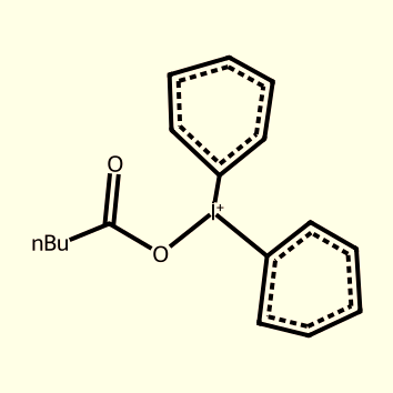 CCCCC(=O)O[I+](c1ccccc1)c1ccccc1